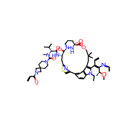 C=CC(=O)N1CC2(CCN(C(=O)N(C)[C@H](C(=O)N[C@H]3Cc4nc(cs4)-c4ccc5c(c4)c(c(/C(C=C)=C(/N=C\C)[C@H](C)OC)n5CC)CC(C)(C)COC(=O)[C@@]4(O)CCCN(N4)C3=O)C(C)C)CC2)C1